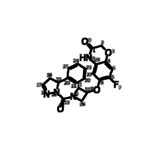 O=C1COc2cc(F)c(OC3CN(C(=O)N4N=CCC4c4ccccc4)C3)cc2N1